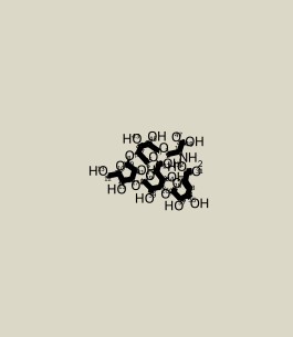 NC(CO[C@@H]1OC[C@H](O[C@@H]2OC(CO)[C@H](O)C(O[C@@H]3OC(CO)[C@H](O)C(O[C@@H]4OC(C(=O)O)=CC(O)C4O)C3O)C2O)C(O)C1O)C(=O)O